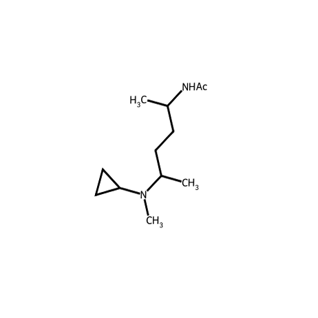 CC(=O)NC(C)CCC(C)N(C)C1CC1